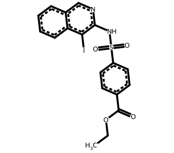 CCOC(=O)c1ccc(S(=O)(=O)Nc2ncc3ccccc3c2I)cc1